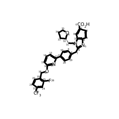 O=C(O)c1ccc2nc(Cc3ccc(-c4cccc(OCc5ccc(C(F)(F)F)cc5F)n4)cc3)n(C[C@@H]3CCCO3)c2c1